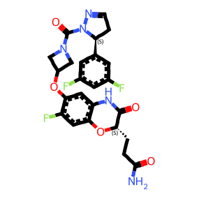 NC(=O)CC[C@@H]1Oc2cc(F)c(OC3CN(C(=O)N4N=CC[C@H]4c4cc(F)cc(F)c4)C3)cc2NC1=O